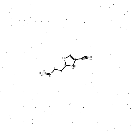 C#CC1=CSC(CCN=C)N1